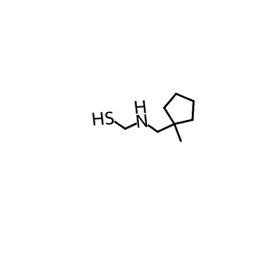 CC1(CNCS)CCCC1